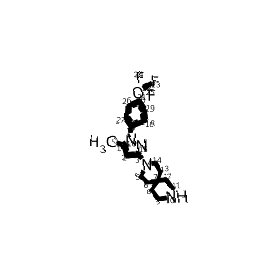 Cc1cc(N2CCC3(CCNCC3)CC2)nn1-c1ccc(OC(F)(F)F)cc1